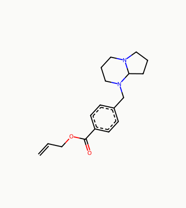 C=CCOC(=O)c1ccc(CN2CCCN3CCCC32)cc1